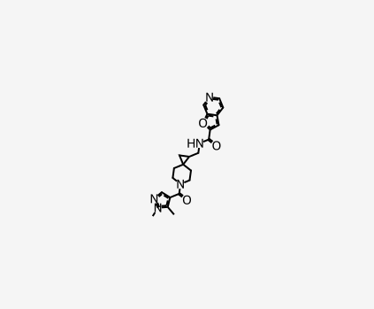 Cc1c(C(=O)N2CCC3(CC2)CC3CNC(=O)c2cc3ccncc3o2)cnn1C